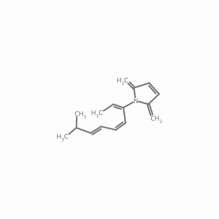 C=c1ccc(=C)n1C(/C=C\C=C\C(C)C)=C/C